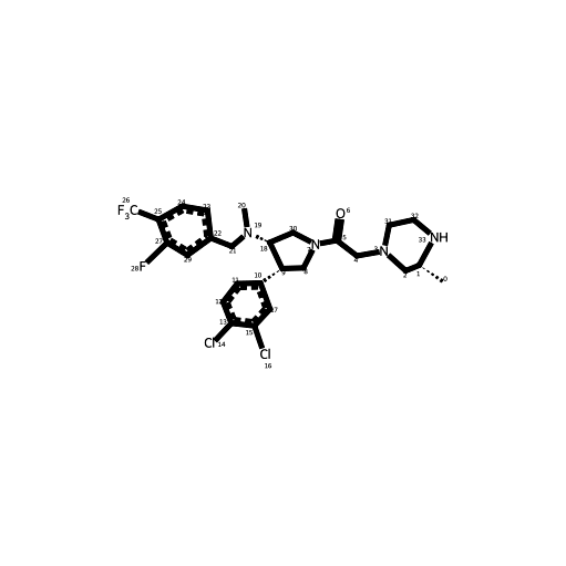 C[C@@H]1CN(CC(=O)N2C[C@H](c3ccc(Cl)c(Cl)c3)[C@H](N(C)Cc3ccc(C(F)(F)F)c(F)c3)C2)CCN1